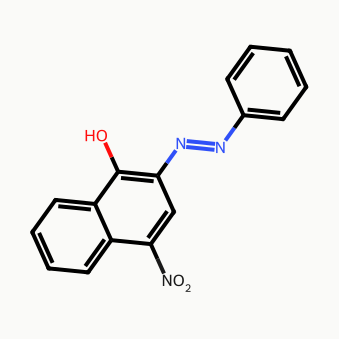 O=[N+]([O-])c1cc(N=Nc2ccccc2)c(O)c2ccccc12